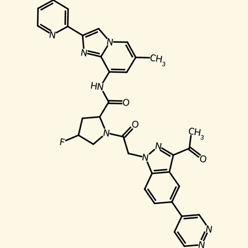 CC(=O)c1nn(CC(=O)N2CC(F)CC2C(=O)Nc2cc(C)cn3cc(-c4ccccn4)nc23)c2ccc(-c3ccnnc3)cc12